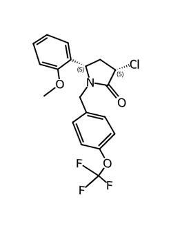 COc1ccccc1[C@@H]1C[C@H](Cl)C(=O)N1Cc1ccc(OC(F)(F)F)cc1